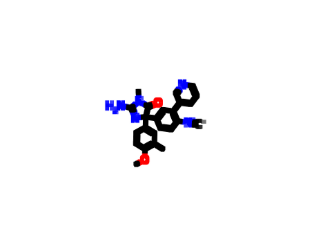 [C-]#[N+]c1ccc(C2(c3ccc(OC)c(C)c3)N=C(N)N(C)C2=O)cc1-c1cccnc1